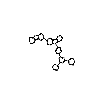 C1=CCCC(c2cc(-c3ccccc3)nc(C3C=CC(n4c5ccccc5c5cc(-c6ccc7oc8ccccc8c7c6)ccc54)=CC3)n2)=C1